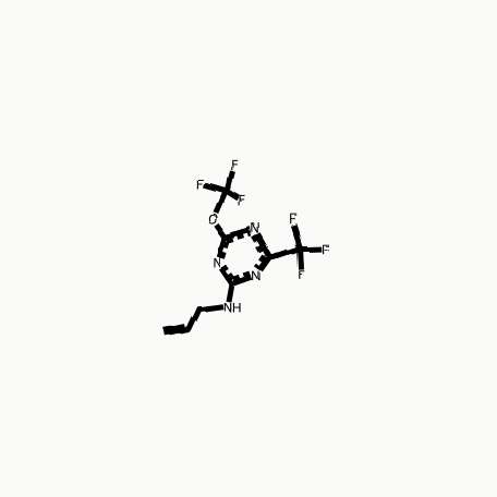 C=CCNc1nc(OC(F)(F)F)nc(C(F)(F)F)n1